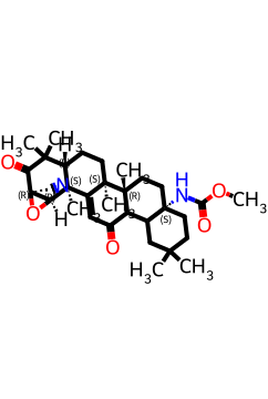 COC(=O)N[C@]12CCC(C)(C)CC1C1C(=O)C=C3[C@@]4(C)[C@H]5O[C@@]5(C#N)C(=O)C(C)(C)[C@@H]4CC[C@@]3(C)[C@]1(C)CC2